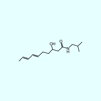 C/C=C/C=CCCC(O)CC(=O)NCC(C)C